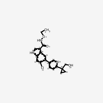 CCONC(=O)c1c[nH]c2cc(Cl)c(-c3ccc(C4(CO)CC4)nc3)cc12